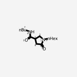 CCCCCCN1CC(C(=O)NCCCC)CC1=O